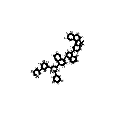 CC1(C)c2ccc(-c3ccc(-c4ccc(-c5cc(-c6cccc(-c7cccnc7)c6)nc(-c6ccccc6)n5)c5ccccc45)c4ccccc34)cc2-c2c1ccc1ccccc21